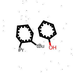 CC(C)c1ccccc1C(C)(C)C.Oc1ccccc1